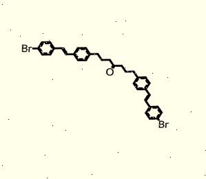 O=C(CCCc1ccc(C=Cc2ccc(Br)cc2)cc1)CCCc1ccc(C=Cc2ccc(Br)cc2)cc1